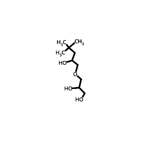 CC(C)(C)CC(O)COCC(O)CO